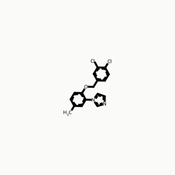 Cc1ccc(OCc2ccc(Cl)c(Cl)c2)c(-n2ccnc2)c1